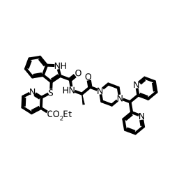 CCOC(=O)c1cccnc1Sc1c(C(=O)N[C@H](C)C(=O)N2CCN(C(c3ccccn3)c3ccccn3)CC2)[nH]c2ccccc12